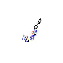 C=CC(=O)Nc1ncc(CN2CCN(C(=C)C(=O)NCc3ccc(-c4ccccc4)cc3)CC2)s1